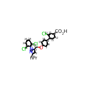 CCCc1cc(COc2ccc(-c3ccc(C(=O)O)cc3Cl)cc2)n(-c2c(Cl)cccc2Cl)n1